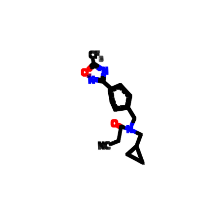 N#CCC(=O)N(Cc1ccc(-c2noc(C(F)(F)F)n2)cc1)CC1CC1